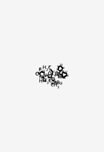 C=C=C[C@]1(CO[Si](c2ccccc2)(c2ccccc2)C(C)(C)C)O[C@@H](n2cc(F)c(=O)[nH]c2=O)C[C@@H]1O[Si](C)(C)C(C)(C)C